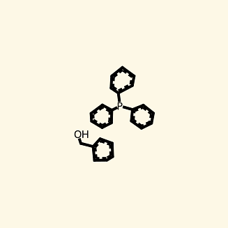 OCc1ccccc1.c1ccc(P(c2ccccc2)c2ccccc2)cc1